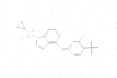 O=S(=O)(C1CC1)n1ncc2c(Nc3ncc(C(F)(F)F)c(Cl)n3)cccc21